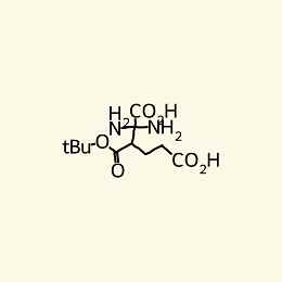 CC(C)(C)OC(=O)C(CCC(=O)O)C(N)(N)C(=O)O